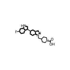 O=C(O)N1CCC(Cn2ncc3cc(-c4c[nH]c5cc(F)ccc45)ccc32)CC1